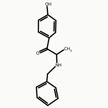 CC(NCc1ccccc1)C(=O)c1ccc(O)cc1